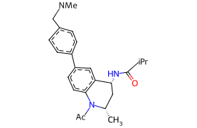 CNCc1ccc(-c2ccc3c(c2)[C@H](NC(=O)C(C)C)C[C@H](C)N3C(C)=O)cc1